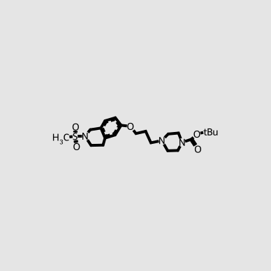 CC(C)(C)OC(=O)N1CCN(CCCOc2ccc3c(c2)CCN(S(C)(=O)=O)C3)CC1